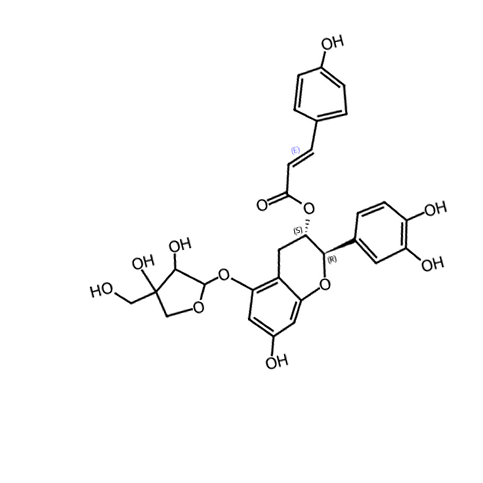 O=C(/C=C/c1ccc(O)cc1)O[C@H]1Cc2c(OC3OCC(O)(CO)C3O)cc(O)cc2O[C@@H]1c1ccc(O)c(O)c1